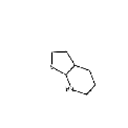 C1CNC2SCCC2C1